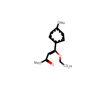 COC(=O)C=C(OCC(=O)O)c1ccc(OC)cc1